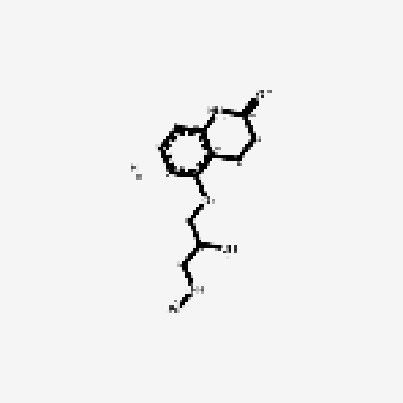 CC(C)(C)NCC(O)COc1cccc2c1CCC(=O)N2.I